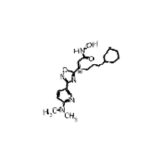 CN(C)c1ccc(-c2noc([C@H](CCCC3CCCCC3)CC(=O)NO)n2)cn1